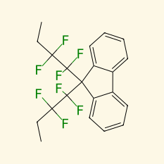 CCC(F)(F)C(F)(F)C1(C(F)(F)C(F)(F)CC)c2ccccc2-c2ccccc21